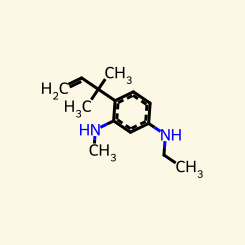 C=CC(C)(C)c1ccc(NCC)cc1NC